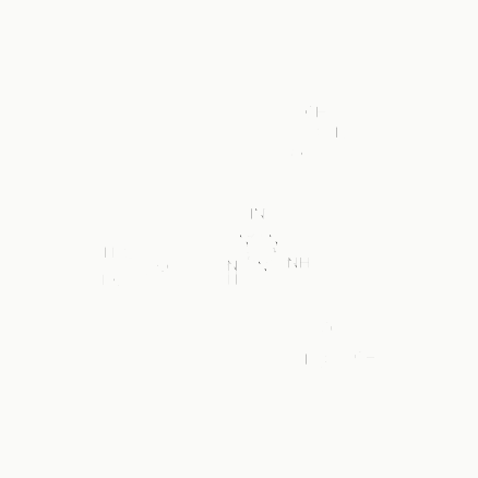 CC(C)COCCCCNc1nc(NCCCCOCC(C)C)nc(NCCCCOCC(C)C)n1